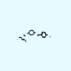 Cc1cc(N(C)C)nc(NC2CCC(NC(=O)c3ccc(OC(F)(F)F)cc3)CC2)n1